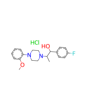 COc1ccccc1N1CCN(C(C)C(O)c2ccc(F)cc2)CC1.Cl